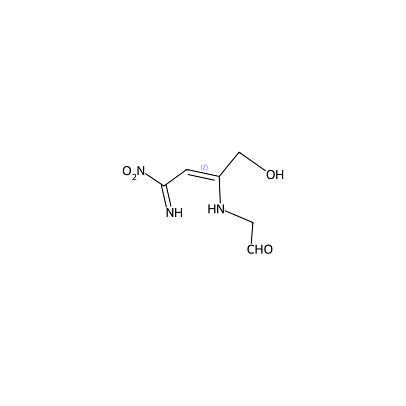 N=C(/C=C(/CO)NCC=O)[N+](=O)[O-]